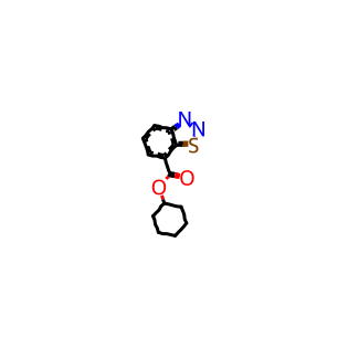 O=C(OC1CCCCC1)c1cccc2nnsc12